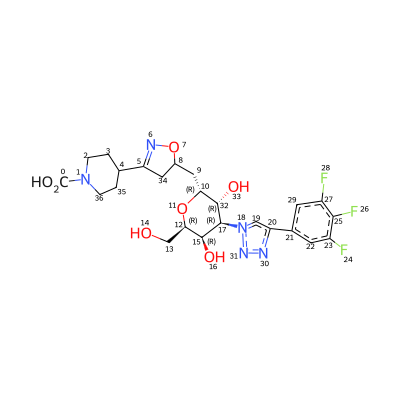 O=C(O)N1CCC(C2=NOC(C[C@H]3O[C@H](CO)[C@H](O)[C@H](n4cc(-c5cc(F)c(F)c(F)c5)nn4)[C@H]3O)C2)CC1